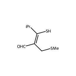 CSCC(C=O)=C(S)C(C)C